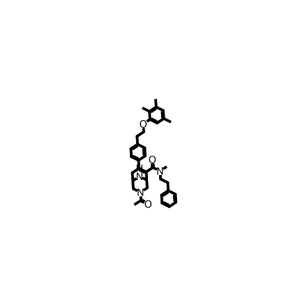 CC(=O)N1CC2CC(c3ccc(CCOc4cc(C)cc(C)c4C)cc3)=C(C(=O)N(C)CCc3ccccc3)C(C1)N2